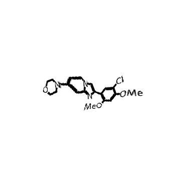 COc1cc(OC)c(-c2cn3ccc(N4CCOCC4)cc3n2)cc1Cl